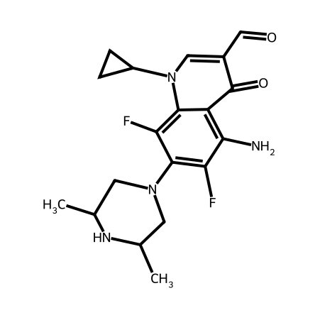 CC1CN(c2c(F)c(N)c3c(=O)c(C=O)cn(C4CC4)c3c2F)CC(C)N1